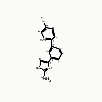 Nc1nc(-c2cccc(-c3ccc(F)cn3)c2)cs1